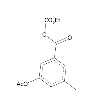 CCOC(=O)OC(=O)c1cc(C)cc(OC(C)=O)c1